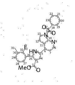 COC(=O)c1cc(-c2ccnc3c2ccn3S(=O)(=O)c2ccccc2)[nH]c1-c1cccc(C)c1F